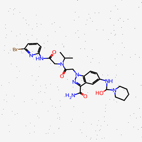 CC(C)N(CC(=O)Nc1cccc(Br)n1)C(=O)Cn1nc(C(N)=O)c2cc(NC(O)N3CCCCC3)ccc21